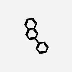 [c]1cccc2cc(-c3ccccc3)ccc12